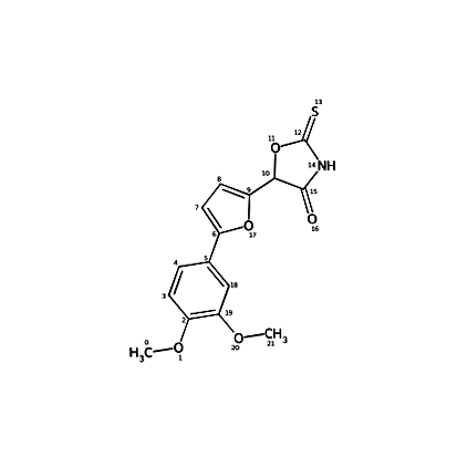 COc1ccc(-c2ccc(C3OC(=S)NC3=O)o2)cc1OC